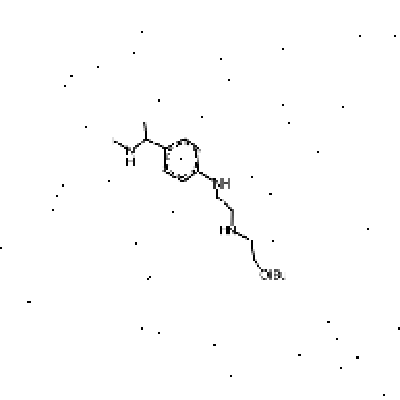 CC(C)COCCNCCNc1ccc(C(C)NI)cc1